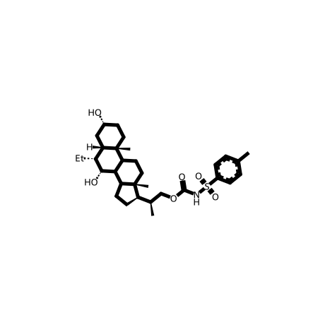 CC[C@H]1[C@@H](O)C2C3CC[C@H]([C@H](C)COC(=O)NS(=O)(=O)c4ccc(C)cc4)[C@@]3(C)CCC2[C@@]2(C)CC[C@@H](O)C[C@@H]12